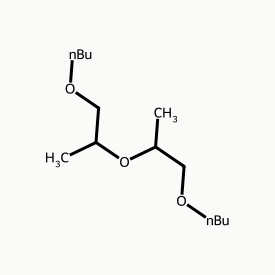 CCCCOCC(C)OC(C)COCCCC